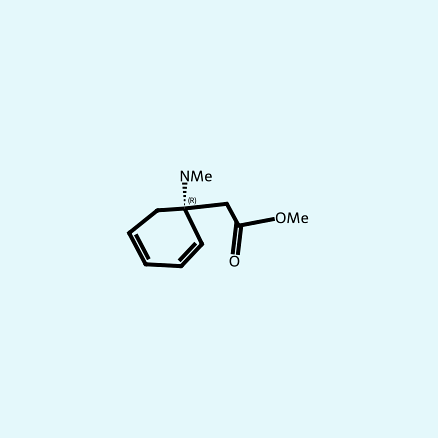 CN[C@]1(CC(=O)OC)C=CC=CC1